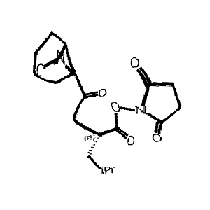 CC(C)C[C@H](CC(=O)N1CC2CCC(CC2)C1)C(=O)ON1C(=O)CCC1=O